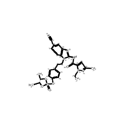 CCOP(=O)(OCC)Oc1ccc(CCn2c(NC(=O)c3cc(C)nn3CC)nc3cc(C#N)ccc32)cc1